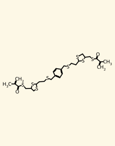 C=C(C)C(=O)SCC1CSC(CCSCc2ccc(CSCCC3SCC(CSC(=O)C(=C)C)S3)cc2)S1